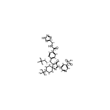 CC(C)(C)CC[C@H](c1ccc(C(=O)NCc2nn[nH]n2)cc1)N1C(=O)C(c2cncc(S(C)(=O)=O)c2)=NC12CCC(C(C)(C)C)CC2